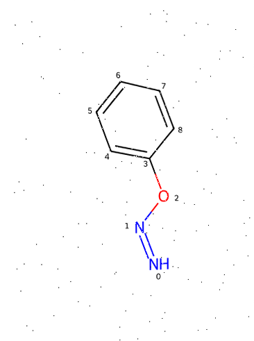 N=NOc1ccccc1